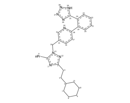 CCCc1nc(CCC2CCCCC2)nn1Cc1ccc(-c2ccccc2-c2nnn[nH]2)nc1